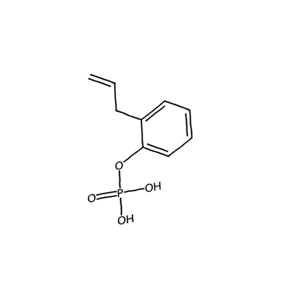 C=CCc1ccccc1OP(=O)(O)O